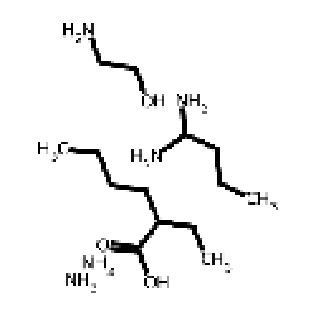 CCCC(N)N.CCCCC(CC)C(=O)O.N.N.NCCO